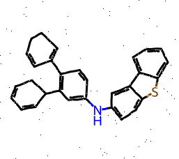 C1=CCC(c2cc(Nc3ccc4sc5ccccc5c4c3)ccc2C2=CCCC=C2)C=C1